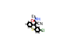 [CH2]CNC(=O)/C(C#N)=C1\c2ccccc2Sc2ccc(Cl)cc21